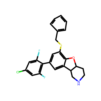 Fc1cc(Cl)cc(F)c1-c1cc(SCc2ccccc2)c2c(c1)C1CNCCC1O2